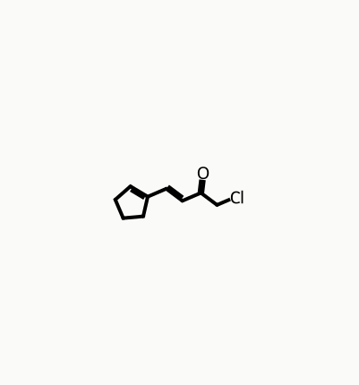 O=C(C=CC1=CCCC1)CCl